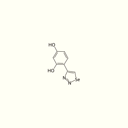 Oc1ccc(-c2c[se]nn2)c(O)c1